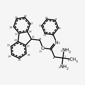 CC(N)(N)CC(=Nc1ccccc1)OCC1c2ccccc2-c2ccccc21